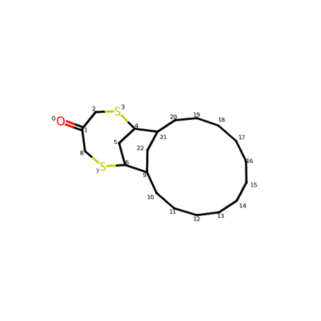 O=C1CSC2CC(SC1)C1CCCCCCCCCCCC2C1